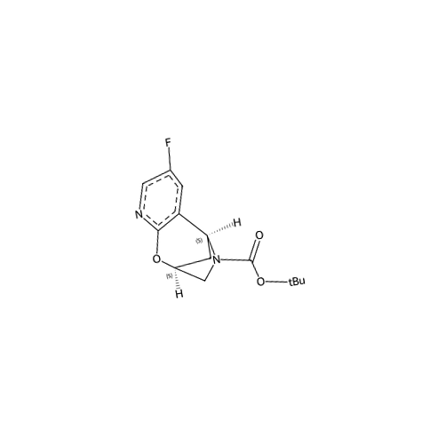 CC(C)(C)OC(=O)N1C[C@@H]2C[C@H]1c1cc(F)cnc1O2